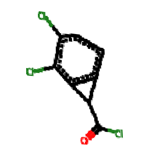 O=C(Cl)C1c2ccc(Cl)c(Cl)c21